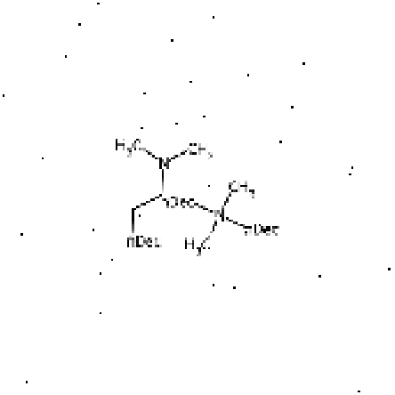 CCCCCCCCCCCCN(C)C.CCCCCCCCCC[N+](C)(C)CCCCCCCCCC